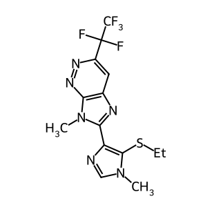 CCSc1c(-c2nc3cc(C(F)(F)C(F)(F)F)nnc3n2C)ncn1C